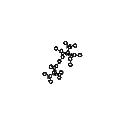 c1ccc(-c2ccc3c(c2)c2cc(-c4ccccc4)ccc2n3-c2cc(-c3cc(-c4ccccc4)nc(-c4ccccc4)n3)cc(-n3c4ccc(-c5ccccc5)cc4c4cc(-c5ccc(-c6ccc7c(c6)c6ccccc6n7-c6cc(-c7cc(-c8ccccc8)nc(-c8ccccc8)c7)nc(-n7c8ccccc8c8ccccc87)n6)cc5)ccc43)n2)cc1